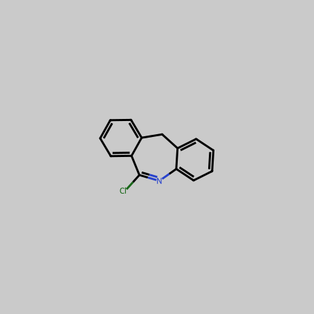 ClC1=Nc2ccccc2Cc2ccccc21